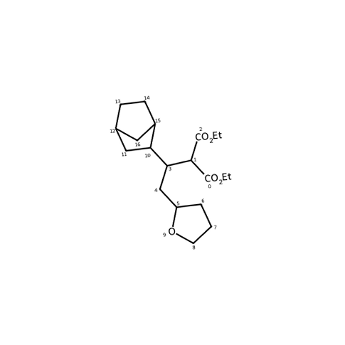 CCOC(=O)C(C(=O)OCC)C(CC1CCCO1)C1CC2CCC1C2